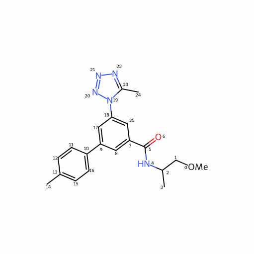 COCC(C)NC(=O)c1cc(-c2ccc(C)cc2)cc(-n2nnnc2C)c1